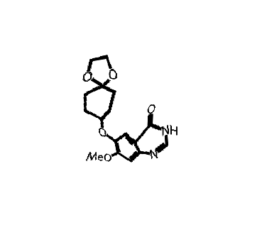 COc1cc2nc[nH]c(=O)c2cc1OC1CCC2(CC1)OCCO2